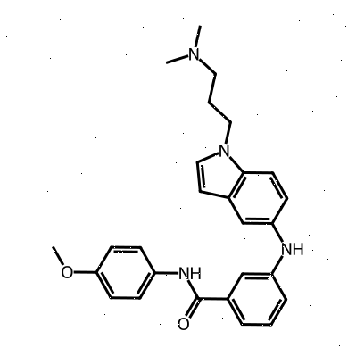 COc1ccc(NC(=O)c2cccc(Nc3ccc4c(ccn4CCCN(C)C)c3)c2)cc1